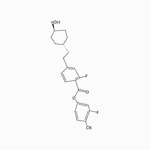 CCCCCCCC[C@H]1CC[C@H](CCc2ccc(C(=O)Oc3ccc(C#N)c(F)c3)c(F)c2)CC1